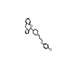 Clc1ccc(OCCCN2CCC(C3Oc4ccccc4Cn4cccc43)CC2)cc1